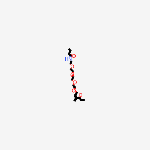 CCCC(=O)NCCOCCOCCOCCOCCC(C)C(=O)CC